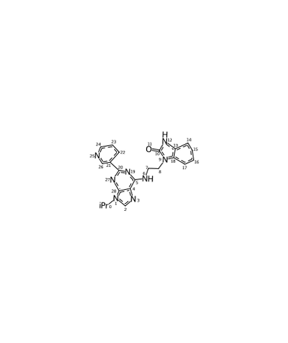 CC(C)n1cnc2c(NCCn3c(=O)[nH]c4ccccc43)nc(-c3cccnc3)nc21